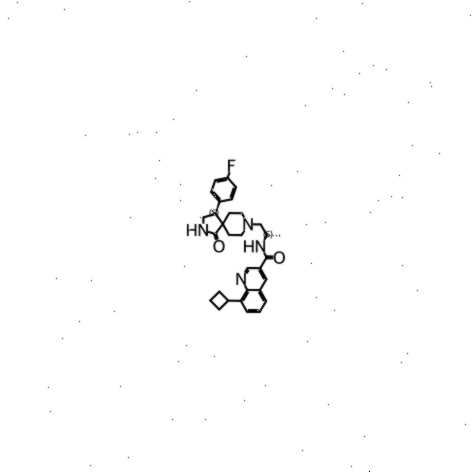 C[C@@H](CN1CCC2(CC1)C(=O)NC[C@H]2c1ccc(F)cc1)NC(=O)c1cnc2c(C3CCC3)cccc2c1